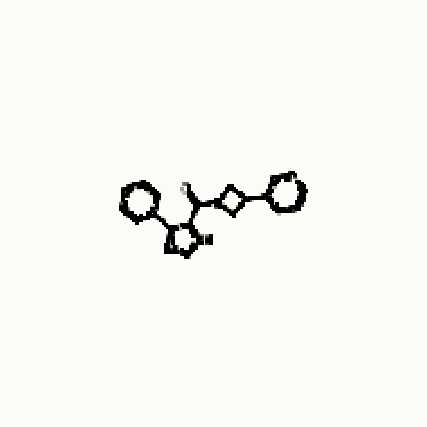 O=C(c1[nH]cnc1-c1ccccc1)N1CC(c2cccnc2)C1